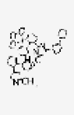 Cc1cc(-c2ccccc2-c2ccccc2-c2ccc3c(c2)-c2c(-c4nc(C)cc(-c5cccc(-c6ccccc6)c5)n4)cccc2C32c3ccccc3Oc3ccccc32)ccn1